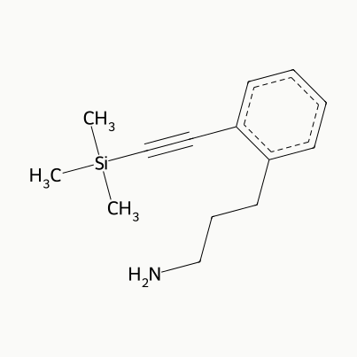 C[Si](C)(C)C#Cc1ccccc1CCCN